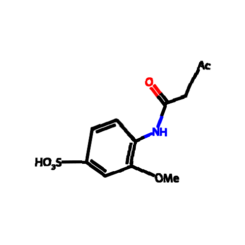 COc1cc(S(=O)(=O)O)ccc1NC(=O)CC(C)=O